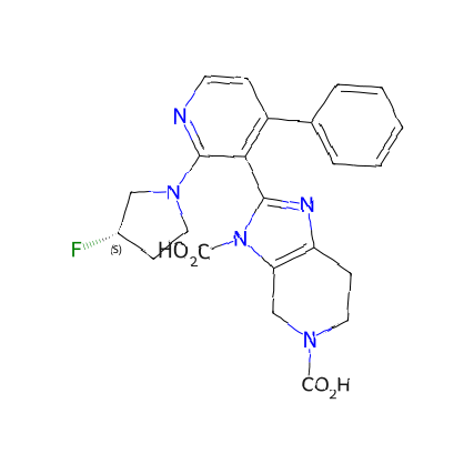 O=C(O)N1CCc2nc(-c3c(-c4ccccc4)ccnc3N3CC[C@H](F)C3)n(C(=O)O)c2C1